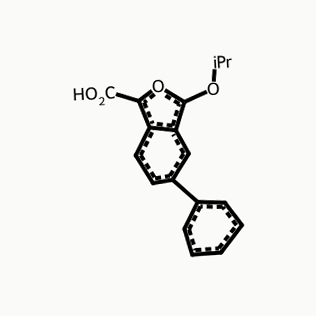 CC(C)Oc1oc(C(=O)O)c2ccc(-c3ccccc3)cc12